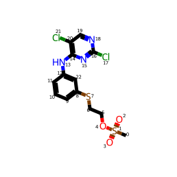 CS(=O)(=O)OCCSc1cccc(Nc2nc(Cl)ncc2Cl)c1